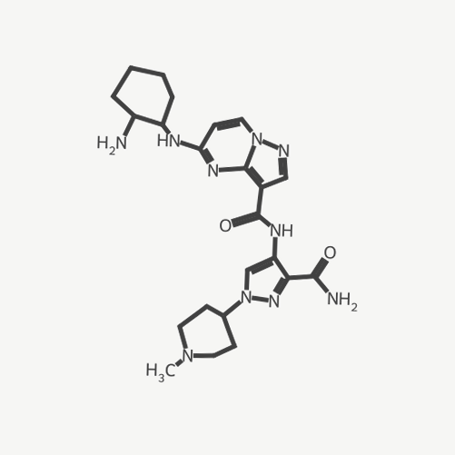 CN1CCC(n2cc(NC(=O)c3cnn4ccc(NC5CCCCC5N)nc34)c(C(N)=O)n2)CC1